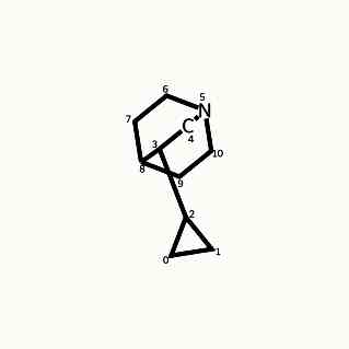 C1C[C]1C1CN2CCC1CC2